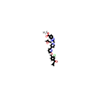 COC(=O)c1ccc2nc(CN3CCC(c4cccc(OCc5ccc(C(=O)C6CC6)cc5Cl)n4)CC3)n(CC3CCO3)c2c1